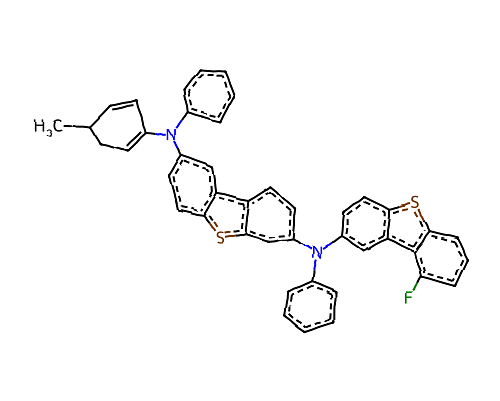 CC1C=CC(N(c2ccccc2)c2ccc3sc4cc(N(c5ccccc5)c5ccc6sc7cccc(F)c7c6c5)ccc4c3c2)=CC1